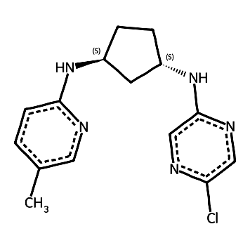 Cc1ccc(N[C@H]2CC[C@H](Nc3cnc(Cl)cn3)C2)nc1